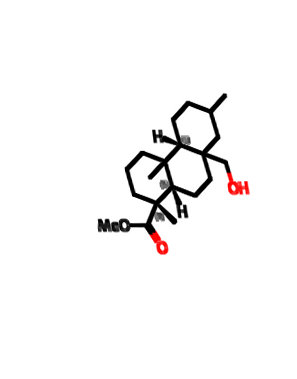 COC(=O)[C@]1(C)CCCC2(C)[C@@H]3CCC(C)CC3(CO)CC[C@@H]21